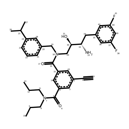 C#Cc1cc(C(=O)N(CCC)CCC)cc(C(=O)N(Cc2cccc(C(C)C)c2)C[C@@H](O)[C@@H](N)Cc2cc(F)cc(F)c2)c1